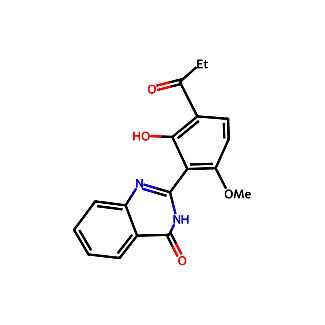 CCC(=O)c1ccc(OC)c(-c2nc3ccccc3c(=O)[nH]2)c1O